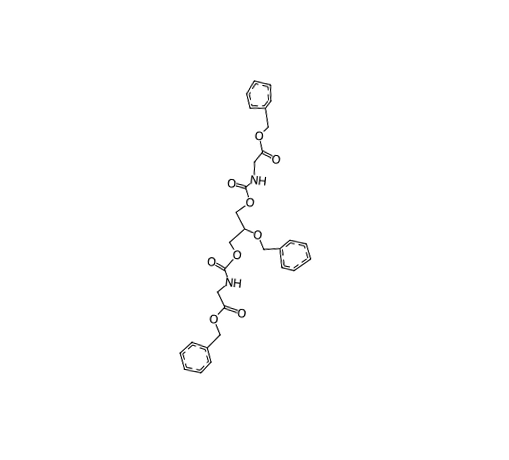 O=C(CNC(=O)OCC(COC(=O)NCC(=O)OCc1ccccc1)OCc1ccccc1)OCc1ccccc1